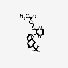 CC(=O)OCSc1nccnc1-n1ccc2ccc(C(F)(F)F)cc21